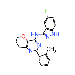 Cc1ccccc1-c1nc2c(c(Nc3n[nH]c4ccc(F)cc34)n1)OCCC2